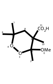 COC1(C)OOC(C)(C)CC1(C)C(=O)O